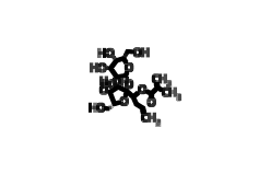 C=CCC(OC(=O)C(=C)C)[C@@]1(O[C@H]2O[C@H](CO)[C@@H](O)[C@H](O)[C@H]2O)O[C@H](CO)[C@@H](O)[C@@H]1O